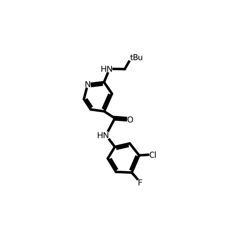 CC(C)(C)CNc1cc(C(=O)Nc2ccc(F)c(Cl)c2)ccn1